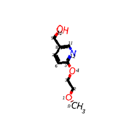 COCCOc1ccc(CO)cn1